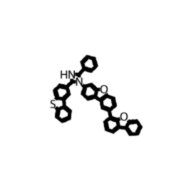 c1ccc(C2NC(c3ccc4sc5ccccc5c4c3)N2c2ccc3c(c2)oc2ccc(-c4cccc5c4oc4ccccc45)cc23)cc1